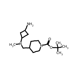 CN(CC1CCN(C(=O)OC(C)(C)C)CC1)C1CC(N)C1